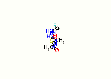 CN1C(=O)[C@@H](NC(=O)c2n[nH]c(Cc3ccccc3F)n2)CSc2cc(N(C)C3CCOCC3)ncc21